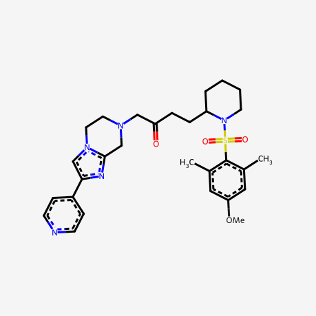 COc1cc(C)c(S(=O)(=O)N2CCCCC2CCC(=O)CN2CCn3cc(-c4ccncc4)nc3C2)c(C)c1